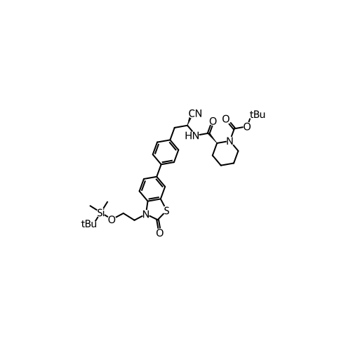 CC(C)(C)OC(=O)N1CCCC[C@H]1C(=O)N[C@H](C#N)Cc1ccc(-c2ccc3c(c2)sc(=O)n3CCO[Si](C)(C)C(C)(C)C)cc1